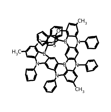 Cc1cc2c3c(c1)N(c1ccccc1)c1cc4c(cc1B3c1sc3ccccc3c1O2)B1c2cc3c(cc2N(c2ccccc2)c2cc(C)cc(c21)N4c1ccccc1)N(c1ccccc1)c1cc(C)cc2c1B3c1sc3ccccc3c1O2